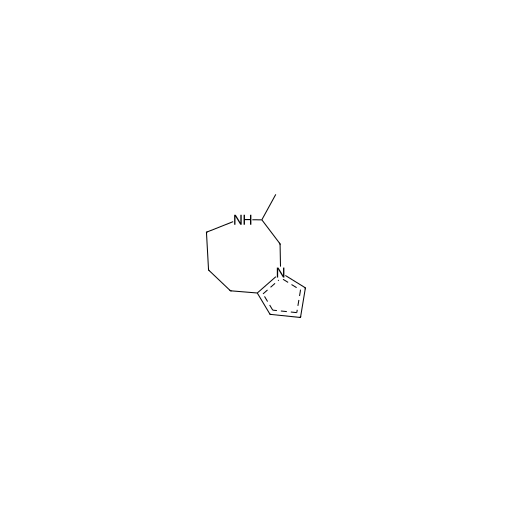 CC1Cn2cccc2CCCN1